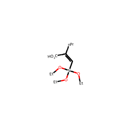 CCCC(=C[Si](OCC)(OCC)OCC)C(=O)O